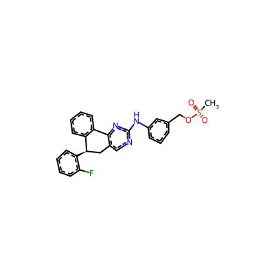 CS(=O)(=O)OCc1cccc(Nc2ncc3c(n2)-c2ccccc2[C@H](c2ccccc2F)C3)c1